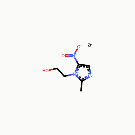 Cc1ncc([N+](=O)[O-])n1CCO.[Zn]